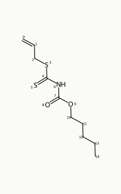 C=CCSC(=S)NC(=O)OCCCCC